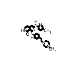 Cc1ccc(Nc2cc3cc[nH]c(=O)c3c(Nc3ccc(CCN4CCCN(C)CC4)cc3)n2)nc1